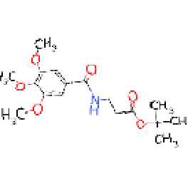 COc1cc(C(=O)NCCC(=O)OC(C)(C)C)cc(OC)c1OC